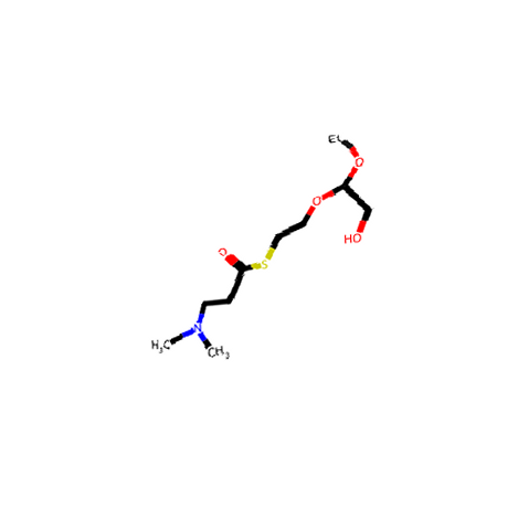 CCOC(CO)OCCSC(=O)CCN(C)C